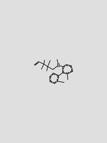 C=CC(C)(C)C(C)(C)CB(C)c1cccc(C)c1-c1ccccc1C